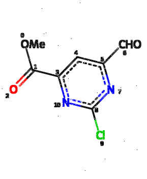 COC(=O)c1cc(C=O)nc(Cl)n1